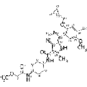 COCC(=O)N[C@H]1CC[C@H](NC(=O)c2c(C)[nH]c3c(-c4cc(OC)c(F)cc4OCC4CC4)ncnc23)CC1